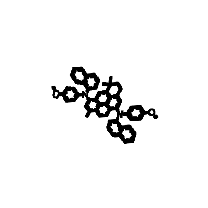 COc1ccc(N(c2cccc3ccccc23)c2cc(C)c3ccc4c(N(c5ccc(OC)cc5)c5cccc6ccccc56)cc5c6c(cc2c3c46)C(C)(C)CC5)cc1